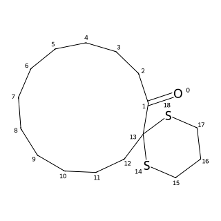 O=C1CCCCCCCCCCCC12SCCCS2